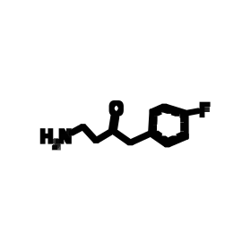 NCCC(=O)Cc1ccc(F)cc1